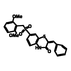 COc1cccc(OC)c1CS(=O)(=O)c1ccc2c(c1)S/C(=C/c1ccccc1)C(=O)N2